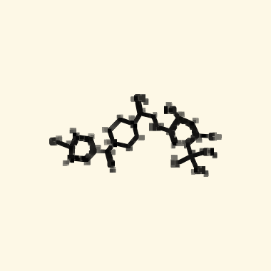 C=C(CNc1cc(C(C)(C)CC)c(Cl)cc1O)N1CCN(C(=O)c2cnc(Cl)nc2)CC1